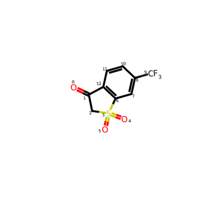 O=C1CS(=O)(=O)c2cc(C(F)(F)F)ccc21